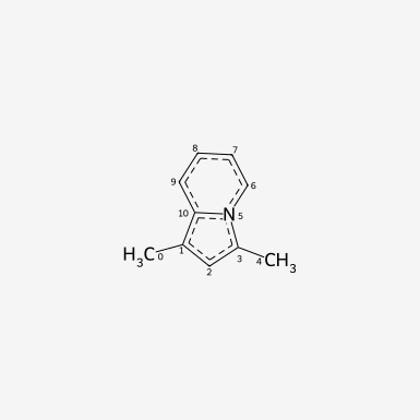 Cc1cc(C)n2ccccc12